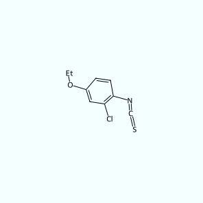 CCOc1ccc(N=C=S)c(Cl)c1